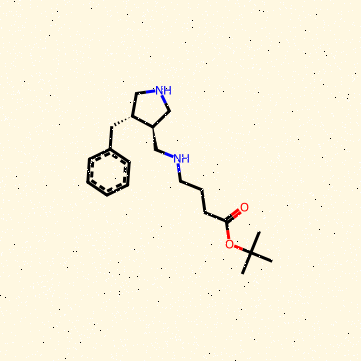 CC(C)(C)OC(=O)CCCNC[C@@H]1CNC[C@H]1Cc1ccccc1